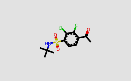 CC(=O)c1ccc(S(=O)(=O)NC(C)(C)C)c(Cl)c1Cl